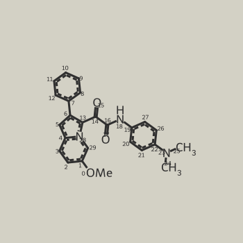 COc1ccc2cc(-c3ccccc3)c(C(=O)C(=O)Nc3ccc(N(C)C)cc3)n2c1